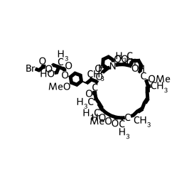 CO[C@H]1C[C@@H]2CC[C@@H](C)[C@@](O)(O2)C(=O)C(=O)N2CCCC[C@H]2C(=O)O[C@H]([C@H](C)C[C@@H]2CC[C@@H](OC(=O)C(C)(CO)COC(=O)CBr)[C@H](OC)C2)CC(=O)[C@H](C)/C=C(\C)[C@@H](O)[C@@H](OC)C(=O)[C@H](C)C[C@H](C)/C=C/C=C/C=C/1C